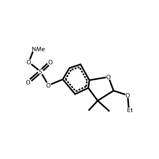 CCOC1Oc2ccc(OS(=O)(=O)ONC)cc2C1(C)C